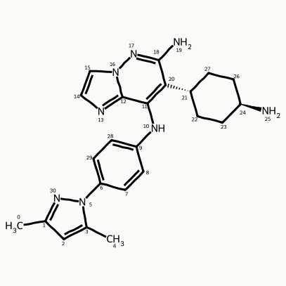 Cc1cc(C)n(-c2ccc(Nc3c4nccn4nc(N)c3[C@H]3CC[C@H](N)CC3)cc2)n1